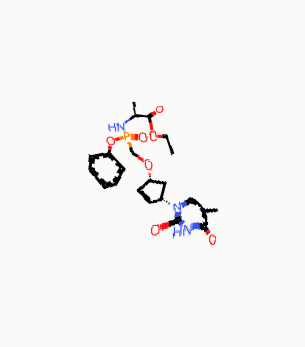 CCOC(=O)[C@H](C)NP(=O)(CO[C@H]1C=C[C@@H](n2cc(C)c(=O)[nH]c2=O)C1)Oc1ccccc1